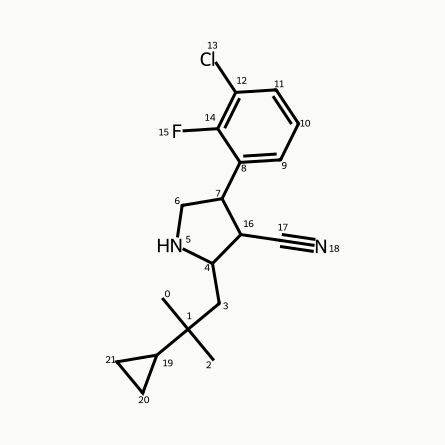 CC(C)(CC1NCC(c2cccc(Cl)c2F)C1C#N)C1CC1